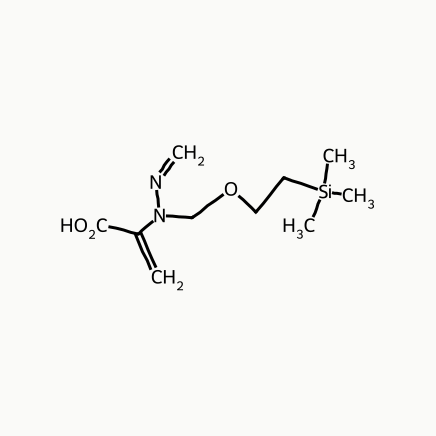 C=NN(COCC[Si](C)(C)C)C(=C)C(=O)O